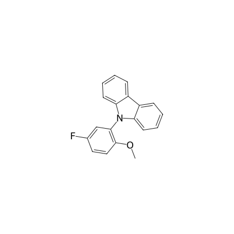 COc1ccc(F)cc1-n1c2ccccc2c2ccccc21